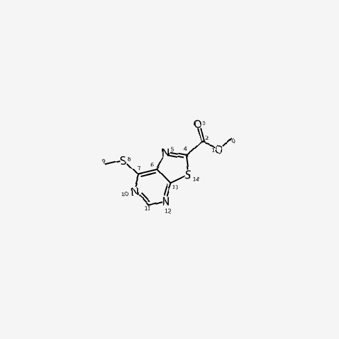 COC(=O)c1nc2c(SC)ncnc2s1